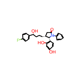 O=C1C[C@@H](CCC[C@@H](O)c2ccc(F)cc2)[C@@H](c2ccc(O)cc2O)N1c1ccccc1